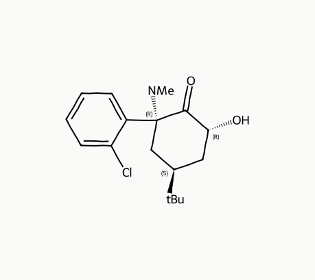 CN[C@@]1(c2ccccc2Cl)C[C@H](C(C)(C)C)C[C@@H](O)C1=O